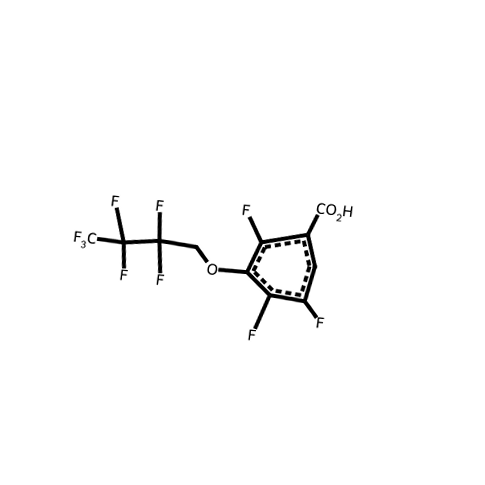 O=C(O)c1cc(F)c(F)c(OCC(F)(F)C(F)(F)C(F)(F)F)c1F